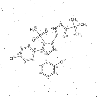 CC(C)(C)c1nnc(-c2nn(-c3ccccc3Cl)c(-c3ccc(Cl)cc3)c2S(C)(=O)=O)s1